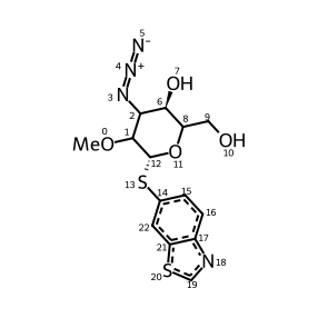 COC1C(N=[N+]=[N-])[C@@H](O)C(CO)O[C@@H]1Sc1ccc2ncsc2c1